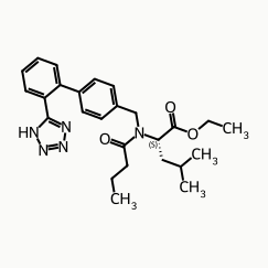 CCCC(=O)N(Cc1ccc(-c2ccccc2-c2nnn[nH]2)cc1)[C@@H](CC(C)C)C(=O)OCC